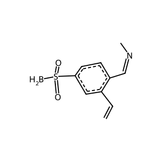 BS(=O)(=O)c1ccc(/C=N\C)c(C=C)c1